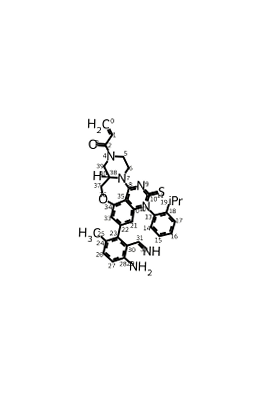 C=CC(=O)N1CCN2c3nc(=S)n(-c4ccccc4C(C)C)c4cc(-c5c(C)ccc(N)c5C=N)cc(c34)OC[C@@H]2C1